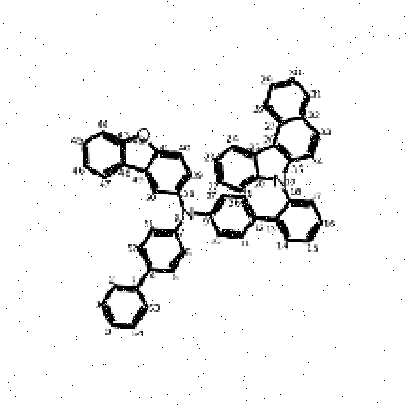 c1ccc(-c2ccc(N(c3ccc(-c4ccccc4-n4c5ccccc5c5c6ccccc6ccc54)cc3)c3ccc4oc5ccccc5c4c3)cc2)cc1